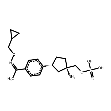 C/C(=N/OCC1CC1)c1ccc([C@@H]2CC[C@](N)(COP(=O)(O)O)C2)cc1